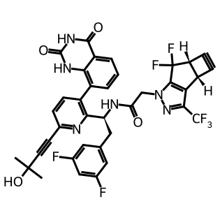 CC(C)(O)C#Cc1ccc(-c2cccc3c(=O)[nH]c(=O)[nH]c23)c([C@H](Cc2cc(F)cc(F)c2)NC(=O)Cn2nc(C(F)(F)F)c3c2C(F)(F)[C@@H]2C#C[C@H]32)n1